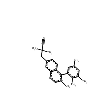 Cc1cc(C)c(C)c(-c2c3ccc(CC(C)(C)C#N)cc3nc[n+]2C)c1